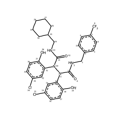 O=C(NCc1ccc(C(F)(F)F)cc1)N(c1cc(Cl)ccc1O)N(C(=O)NCC1CCCCC1)c1cc(Cl)ccc1O